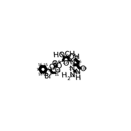 C[C@@]1(O)[C@H](O)[C@@H](COP2(=O)OCC[C@H](c3ccccc3Br)O2)O[C@H]1n1ccc2c(=O)[nH]c(N)nc21